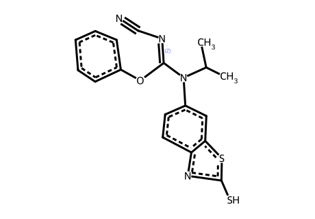 CC(C)N(/C(=N/C#N)Oc1ccccc1)c1ccc2nc(S)sc2c1